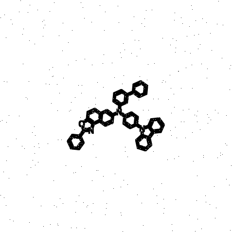 c1ccc(-c2cccc(N(c3ccc(-n4c5ccccc5c5ccccc54)cc3)c3ccc4c(ccc5oc(-c6ccccc6)nc54)c3)c2)cc1